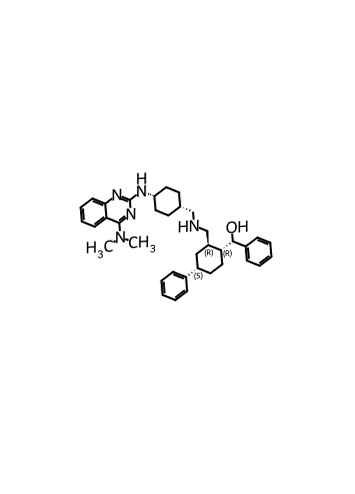 CN(C)c1nc(N[C@H]2CC[C@@H](CNC[C@@H]3C[C@@H](c4ccccc4)CC[C@H]3C(O)c3ccccc3)CC2)nc2ccccc12